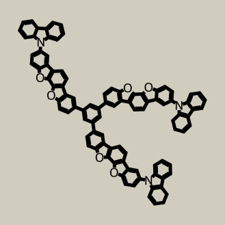 C1=CC2c3ccccc3N(c3ccc4oc5c(ccc6c7cc(-c8cc(-c9ccc%10oc%11c(ccc%12c%13cc(-n%14c%15c(c%16ccccc%16%14)CCC=C%15)ccc%13oc%12%11)c%10c9)cc(-c9ccc%10oc%11c(ccc%12c%13cc(-n%14c%15c(c%16ccccc%16%14)C=CCC%15)ccc%13oc%12%11)c%10c9)c8)ccc7oc65)c4c3)C2C=C1